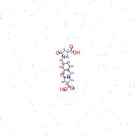 O=C(O)C1CC(=O)N(Cc2ccc(CN3CC(C(=O)O)CC3=O)cc2)C1